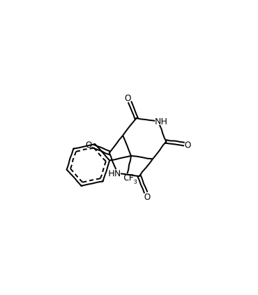 O=C1NC(=O)C2C(=O)NC(=O)C1C2(c1ccccc1)C(F)(F)F